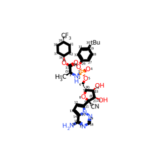 C[C@H](NP(=O)(OC[C@H]1O[C@@](C#N)(c2ccc3c(N)ncnn23)[C@H](O)[C@@H]1O)Oc1ccc(C(C)(C)C)cc1)C(=O)O[C@H]1CC[C@H](C(F)(F)F)CC1